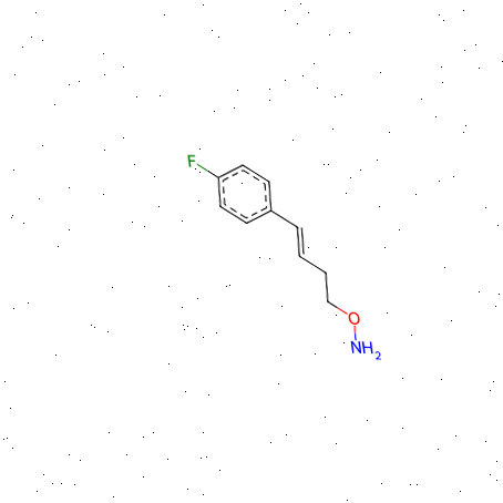 NOCCC=Cc1ccc(F)cc1